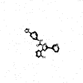 O=C(Nc1ccc(-n2cncn2)cc1)N1N=C(c2cccnc2)CC1c1ccccc1O